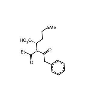 CCC(=O)N(C(=O)Cc1ccccc1)[C@@H](CCSC)C(=O)O